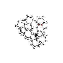 c1ccc(-c2ccccc2N(c2cccc3c2oc2ccccc23)c2c3oc4ccccc4c3cc3oc4ccccc4c23)cc1